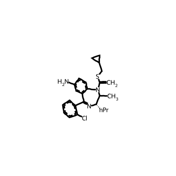 C=C(SCC1CC1)N1c2ccc(N)cc2C(c2ccccc2Cl)=N[C@@H](CCC)C1C